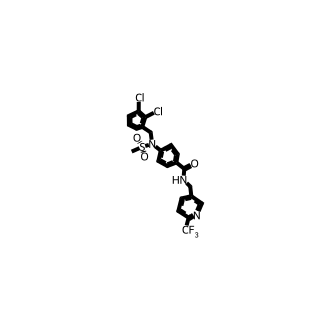 CS(=O)(=O)N(Cc1cccc(Cl)c1Cl)c1ccc(C(=O)NCc2ccc(C(F)(F)F)nc2)cc1